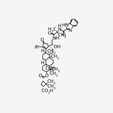 CC(C)C1=C2[C@H]3CC[C@@H]4[C@@]5(C)CC[C@H](OC(=O)[C@H]6C[C@@H](C(=O)O)C6(C)C)C(C)(C)[C@@H]5CC[C@@]4(C)[C@]3(C)CC[C@@]2([C@@H](O)CNC(=O)C(C)(C)NC(=O)c2nc3ccccc3[nH]2)CC1=O